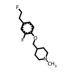 CN1CCC(COc2ccc(CCF)cc2F)CC1